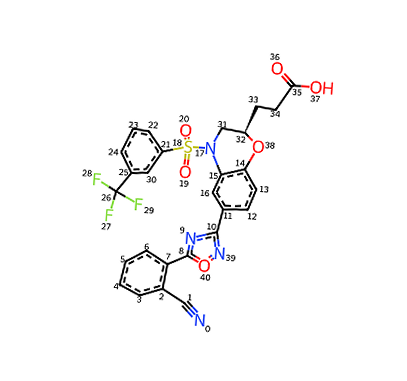 N#Cc1ccccc1-c1nc(-c2ccc3c(c2)N(S(=O)(=O)c2cccc(C(F)(F)F)c2)C[C@@H](CCC(=O)O)O3)no1